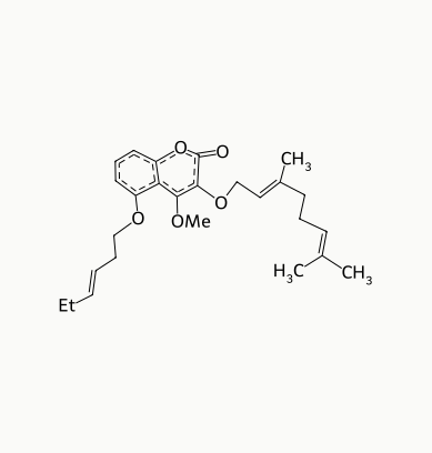 CCC=CCCOc1cccc2oc(=O)c(OC/C=C(\C)CCC=C(C)C)c(OC)c12